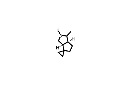 CC1[C@H]2CCC3(CC3)[C@H]2CN1I